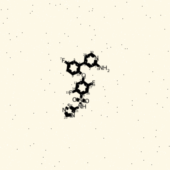 Nc1cc(-c2cc(F)ccc2Oc2cc(F)c(S(=O)(=O)Nc3ncns3)cc2F)ccn1